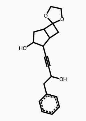 OC(C#CC1C(O)CC2C1CC21OCCO1)Cc1ccccc1